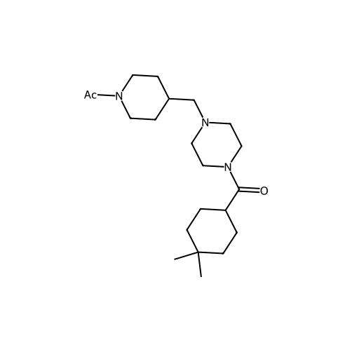 CC(=O)N1CCC(CN2CCN(C(=O)C3CCC(C)(C)CC3)CC2)CC1